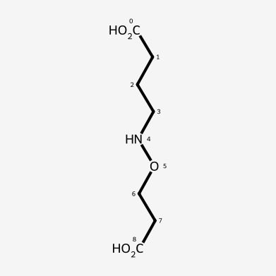 O=C(O)CCCNOCCC(=O)O